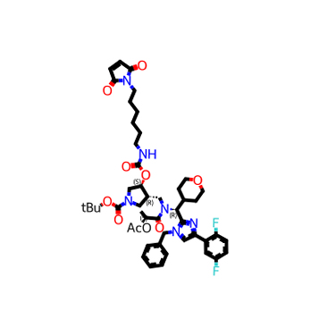 CC(=O)O[C@@H](C)C(=O)N(C[C@@H]1CN(C(=O)OC(C)(C)C)C[C@H]1OC(=O)NCCCCCCN1C(=O)C=CC1=O)[C@@H](c1nc(-c2cc(F)ccc2F)cn1Cc1ccccc1)C1CCOCC1